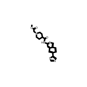 COC(=O)CN1CCC(C(=O)Nc2cc3cc(-c4cncs4)ccc3cn2)CC1